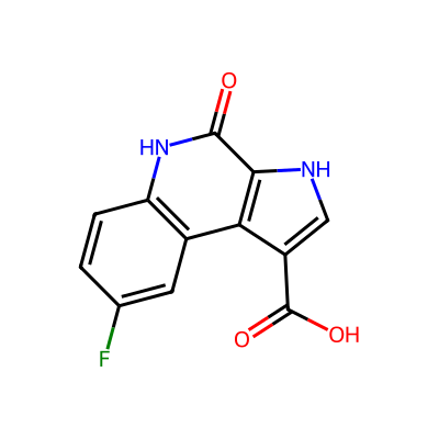 O=C(O)c1c[nH]c2c(=O)[nH]c3ccc(F)cc3c12